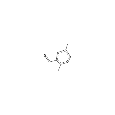 Cc1ccc(C)c([C]=S)c1